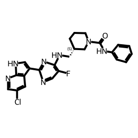 O=C(Nc1ccccc1)N1CCC[C@@H](CNc2nc(-c3c[nH]c4ncc(Cl)cc34)ncc2F)C1